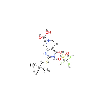 CC(C)(C)CSc1nc2c(c(OS(=O)(=O)C(F)(F)F)n1)CCN(C(=O)O)C2